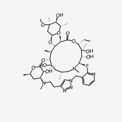 CC[C@H]1OC(=O)[C@H](C)[C@@H](O[C@H]2C[C@@](C)(OC)[C@@H](O)[C@H](C)O2)[C@H](C)[C@@H](O[C@@H]2O[C@H](C)C[C@H](N(C)CCc3cn(Cc4cccnc4F)nn3)[C@H]2O)[C@](C)(O)C[C@@H](C)CN(C)[C@H](C)[C@@H](O)[C@]1(C)O